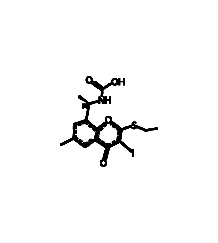 CCSc1oc2c([C@@H](C)NC(=O)O)cc(C)cc2c(=O)c1I